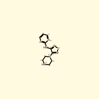 c1cnc(Nc2nsnc2N2CCNCC2)nc1